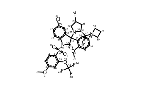 COc1ccc(S(=O)(=O)N2C(=O)C(c3ccccc3OC)(N3CC(F)C[C@H]3C(=O)N3CCC3)c3cc(Cl)ccc32)c(OC(F)(F)F)c1